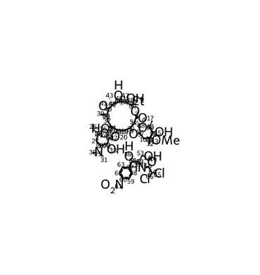 CC[C@H]1OC(=O)[C@H](C)[C@@H](O[C@H]2C[C@@](C)(OC)[C@@H](O)[C@H](C)O2)[C@H](C)[C@@H](O[C@@H]2O[C@H](C)C[C@H](N(C)C)[C@H]2O)[C@](C)(O)C[C@@H](C)C(=O)[C@H](C)[C@@H](O)[C@]1(C)O.O=C(N[C@H](CO)[C@H](O)c1ccc([N+](=O)[O-])cc1)C(Cl)Cl